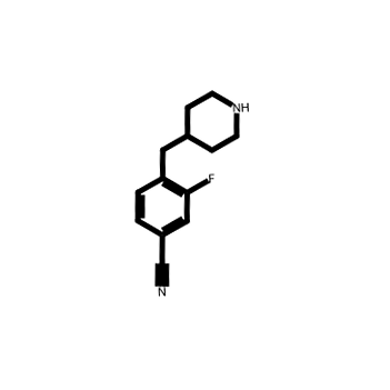 N#Cc1ccc(CC2CCNCC2)c(F)c1